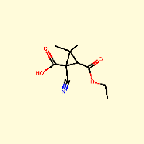 CCOC(=O)C1C(C)(C)C1(C#N)C(=O)O